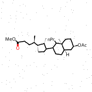 CCCC1C(C2CC[C@H]([C@H](C)CCC(=O)OC)[C@@H]2C)CC[C@@H]2C[C@H](OC(C)=O)CC[C@]12C